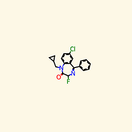 O=C1C(F)N=C(c2ccccc2)c2cc(Cl)ccc2N1CC1CC1